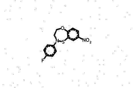 O=[N+]([O-])c1ccc2c(c1)SN(c1ccc(F)cc1)CCO2